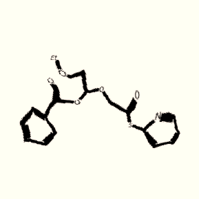 CCOCC(OCC(=O)Sc1ccccn1)OC(=O)c1ccccc1